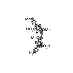 COc1ccc(C2=CN3C(=O)c4cc(OC)c(OCCCOc5cc6c(cc5OC)C(=O)N5C=C(c7ccc(N)cc7)C[C@H]5C(S(=O)(=O)O)=N6)cc4NC(S(=O)(=O)O)C3C2)cc1